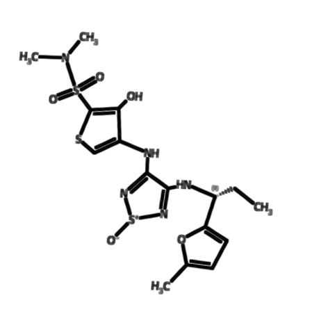 CC[C@@H](Nc1n[s+]([O-])nc1Nc1csc(S(=O)(=O)N(C)C)c1O)c1ccc(C)o1